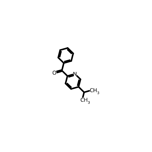 CC(C)c1ccc(C(=O)c2ccccc2)nc1